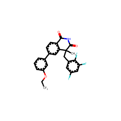 CC1(Cc2cc(F)cc(F)c2F)C(=O)NC(=O)c2ccc(-c3cccc(OCC(F)(F)F)c3)cc21